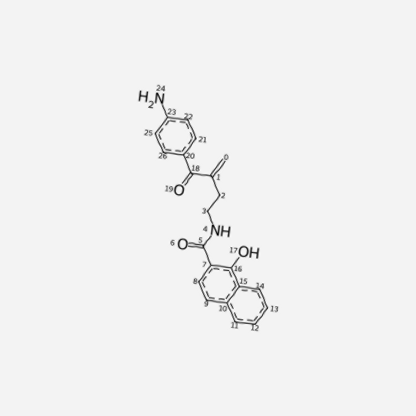 C=C(CCNC(=O)c1ccc2ccccc2c1O)C(=O)c1ccc(N)cc1